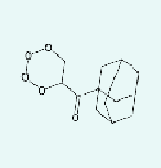 O=C(C1COOOO1)C12CC3CC(CC(C3)C1)C2